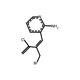 C=C(Cl)/C(=C\c1cccnc1N)CBr